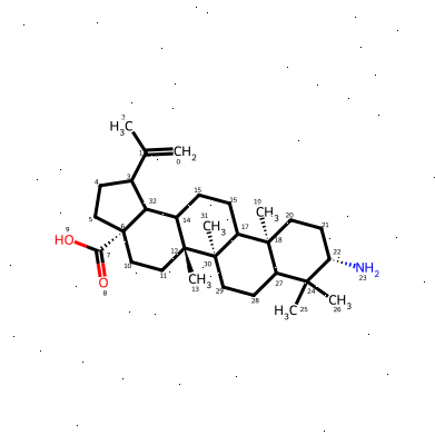 C=C(C)C1CC[C@]2(C(=O)O)CC[C@]3(C)C(CCC4[C@@]5(C)CC[C@H](N)C(C)(C)C5CC[C@]43C)C12